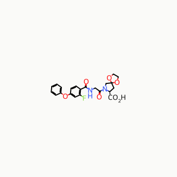 O=C(NCC(=O)N1CC2(C[C@H]1C(=O)O)OCCO2)c1ccc(Oc2ccccc2)cc1F